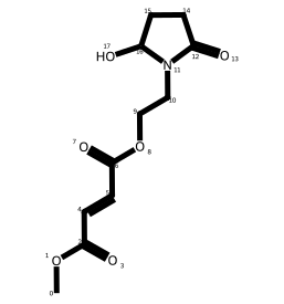 COC(=O)/C=C/C(=O)OCCN1C(=O)CCC1O